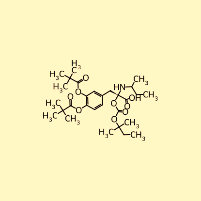 CCC(C)N[C@@](Cc1ccc(OC(=O)C(C)(C)C)c(OC(=O)C(C)(C)C)c1)(OC(=O)OC(C)(C)CC)C(=O)O